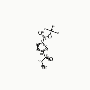 CC(C)(C)OC(=O)c1ccc(C(=O)CBr)s1